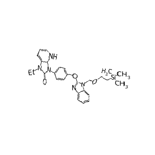 CCN1C(=O)N(c2ccc(Oc3nc4ccccc4n3COCC[Si](C)(C)C)cc2)C2NC=CC=C21